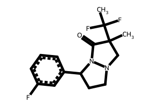 CC(F)(F)C1(C)CN2CCC(c3cccc(F)c3)N2C1=O